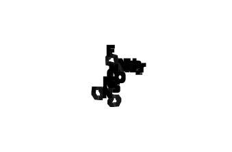 CC(C)C[C@H](N)C(=O)N(Cc1csc(N(c2ccccc2)c2ccccc2)n1)c1ccc(F)cc1